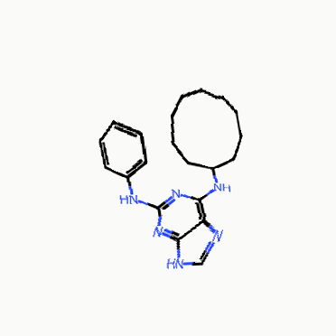 c1ccc(Nc2nc(NC3CCCCCCCCC3)c3nc[nH]c3n2)cc1